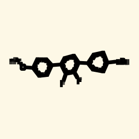 CCCCc1ccc(-c2ccc(-c3ccc(OCCC)cc3)c(F)c2F)cc1